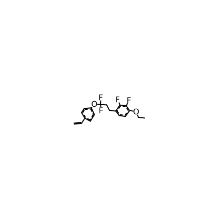 C=Cc1ccc(OC(F)(F)CCc2ccc(OCC)c(F)c2F)cc1